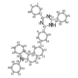 c1ccc(C2=NC(c3ccc(-c4ccc5ccc6c(c5c4)c4ccccc4n6-c4ccccc4)cc3)NC(c3ccccc3)=N2)cc1